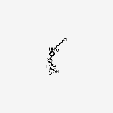 O=C(CCCCCCl)Nc1ccc(-c2nc(C(=O)N[C@@H](CO)C(=O)O)cs2)cc1